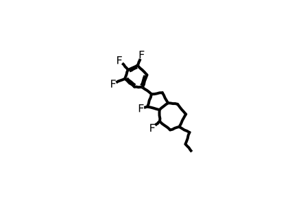 CCCC1CCC2CC(c3cc(F)c(F)c(F)c3)C(F)C2C(F)C1